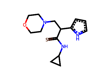 S=C(NC1CC1)C(CN1CCOCC1)c1ccc[nH]1